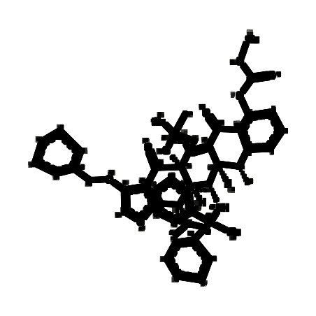 C[C@H]1c2cccc(OC(=O)OC(C)(C)C)c2C(=O)C2=C(O)[C@]3(O[Si](C)(C)C(C)(C)C)C(=O)c4c(OCc5ccccc5)noc4[C@@H](N(C)C)[C@@H]3[C@@H](N[Si](c3ccccc3)(c3ccccc3)C(C)(C)C)[C@@H]21